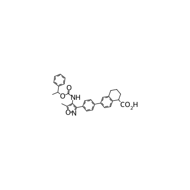 Cc1onc(-c2ccc(-c3ccc4c(c3)CCCC4C(=O)O)cc2)c1NC(=O)OC(C)c1ccccc1